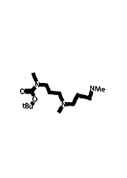 CNCCCN(C)CCCN(C)C(=O)OC(C)(C)C